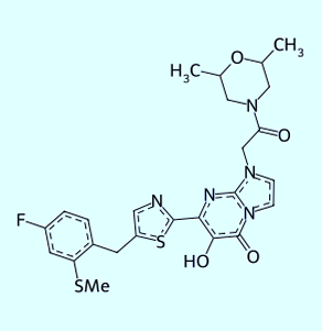 CSc1cc(F)ccc1Cc1cnc(-c2nc3n(CC(=O)N4CC(C)OC(C)C4)ccn3c(=O)c2O)s1